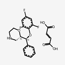 Fc1cc(F)c(O[C@@H](c2ccccc2)[C@@H]2CNCCO2)c(F)c1.O=C(O)C=CC(=O)O